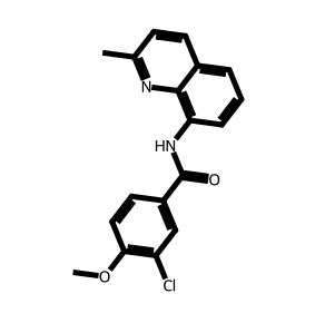 COc1ccc(C(=O)Nc2cccc3ccc(C)nc23)cc1Cl